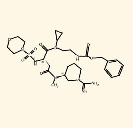 CN(C(=O)C[C@H](NS(=O)(=O)N1CCOCC1)C(=O)N(CCNC(=O)OCc1ccccc1)C1CC1)[C@H]1CCCN(C(=N)N)C1